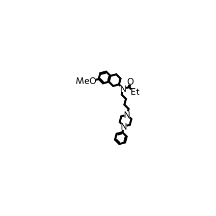 CCC(=O)N(CCCCN1CCN(c2ccccc2)CC1)C1CCc2ccc(OC)cc2C1